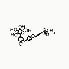 CS(=O)(=O)OCC#CCOc1ccc(Cc2cc([C@@H]3O[C@H](CO)[C@@H](O)[C@H](O)[C@H]3O)ccc2Cl)cc1